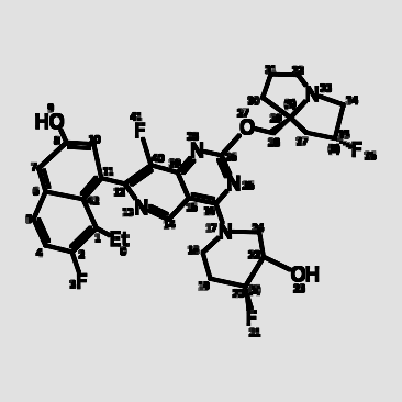 CCc1c(F)ccc2cc(O)cc(-c3ncc4c(N5CC[C@H](F)C(O)C5)nc(OC[C@@]56CCCN5C[C@H](F)C6)nc4c3F)c12